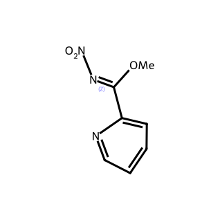 CO/C(=N\[N+](=O)[O-])c1ccccn1